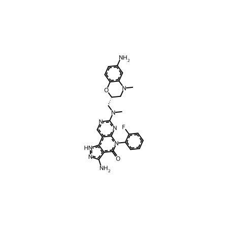 CN(C[C@H]1CN(C)c2cc(N)ccc2O1)c1ncc2c3[nH]nc(N)c3c(=O)n(-c3ccccc3F)c2n1